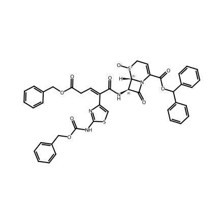 O=C(CC=C(C(=O)N[C@@H]1C(=O)N2C(C(=O)OC(c3ccccc3)c3ccccc3)=CC[S+]([O-])[C@@H]12)c1csc(NC(=O)OCc2ccccc2)n1)OCc1ccccc1